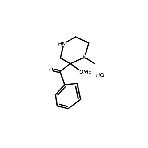 COC1(C(=O)c2ccccc2)CNCCN1C.Cl